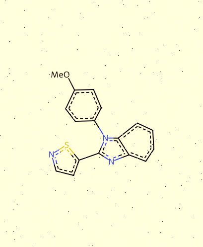 COc1ccc(-n2c(-c3ccns3)nc3ccccc32)cc1